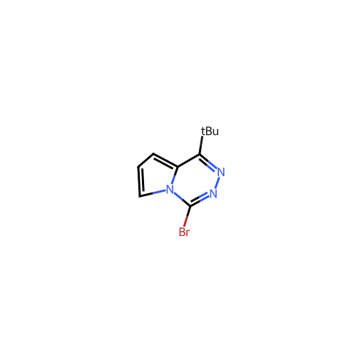 CC(C)(C)c1nnc(Br)n2cccc12